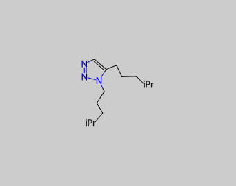 CC(C)CCCc1cnnn1CCCC(C)C